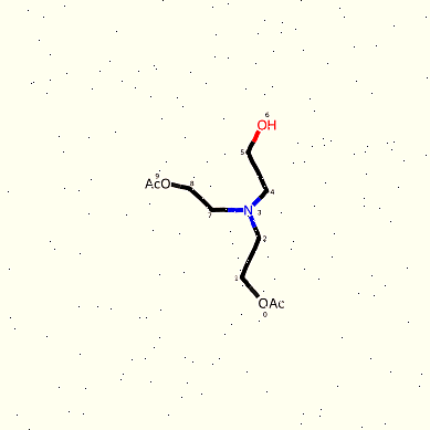 CC(=O)OCCN(CCO)CCOC(C)=O